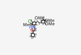 COc1cc(/C=C/c2cc(Cl)c(OC)c(N/C=C\C(=O)c3ccccc3)c2)cc(OC)c1OC